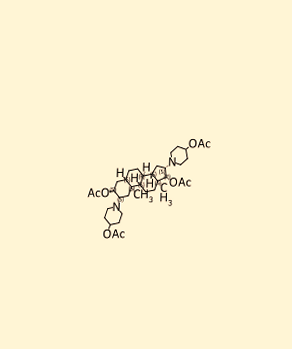 CC(=O)OC1CCN([C@H]2C[C@@]3(C)[C@@H](CC[C@@H]4[C@@H]3CC[C@@]3(C)[C@H]4C[C@H](N4CCC(OC(C)=O)CC4)[C@@H]3OC(C)=O)C[C@@H]2OC(C)=O)CC1